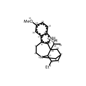 CCC1CC2CN3CCc4c([nH]c5ccc(OC)cc45)C(C(C)O)(C2)C13